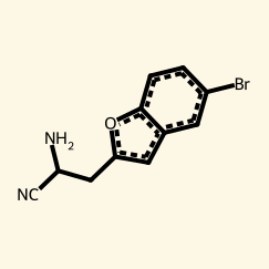 N#CC(N)Cc1cc2cc(Br)ccc2o1